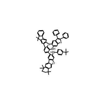 CC(C)(C)c1ccc(Nc2cc3oc4cc5c(cc4c3cc2-c2ccc3c4cc6c(cc4n4c3c2Bc2cc3sc(-c7ccccc7)c(-c7ccccc7)c3cc2-4)-c2ccccc2C6(C)C)C(C)(C)CCC5(C)C)cc1